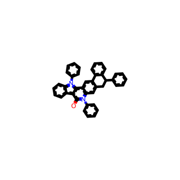 O=c1c2c3ccccc3n(-c3ccccc3)c2c2cc3c(cc2n1-c1ccccc1)CC(c1ccccc1)c1ccccc1-3